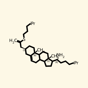 C=C(C[C@H]1CC[C@@]2(C)C(=CCC3C4CCC([C@H](N)CCCC(C)C)[C@@]4(C)CCC32)C1)SCCCC(C)C